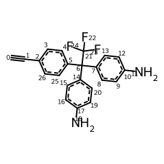 C#Cc1ccc(C(c2ccc(N)cc2)(c2ccc(N)cc2)C(F)(F)F)cc1